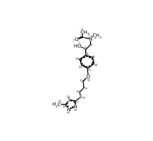 CC(=O)N(C)C[C@H](O)c1ccc(OCCCSc2nnc(C)s2)cc1